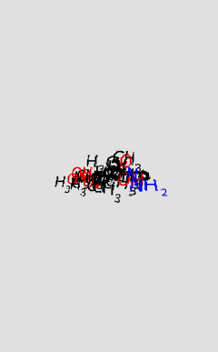 CC(C)C1=C2[C@H]3CC[C@@H]4[C@@]5(C)CC[C@@H](OC(=O)CC(C)(C)C(=O)O)C(C)(C)[C@@H]5CC[C@@]4(C)[C@]3(C)CC[C@@]2([C@@H](O)CN(CCN)Cc2ccccc2)CC1=O